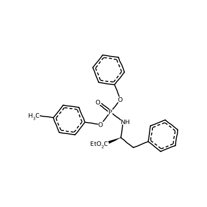 CCOC(=O)[C@H](Cc1ccccc1)NP(=O)(Oc1ccccc1)Oc1ccc(C)cc1